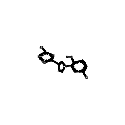 CCc1noc(-c2cn(-c3cc(Cl)ccc3OC)cn2)n1